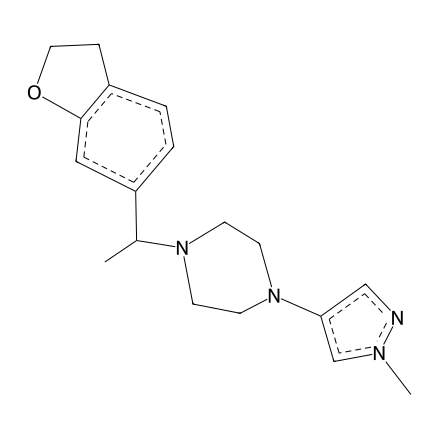 CC(c1ccc2c(c1)OCC2)N1CCN(c2cnn(C)c2)CC1